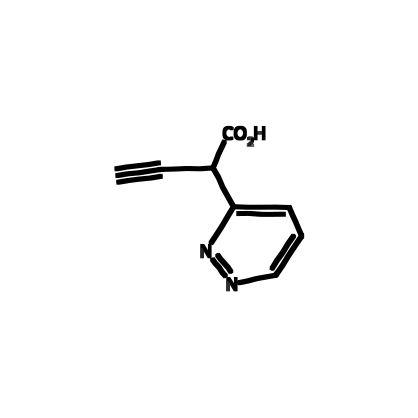 C#CC(C(=O)O)c1cccnn1